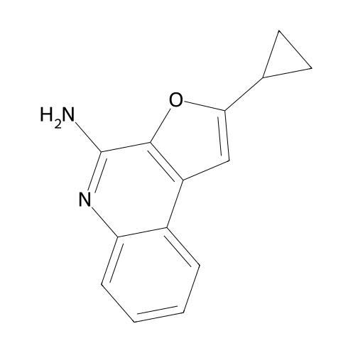 Nc1nc2ccccc2c2cc(C3CC3)oc12